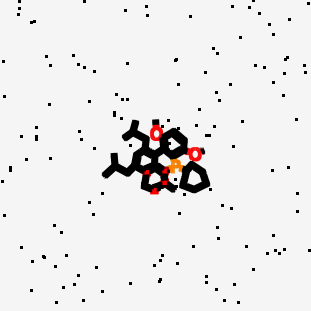 COc1ccc(OC)c(P(C2CCCCC2)C2CCCCC2)c1-c1c(CC(C)C)cc(CC(C)C)cc1CC(C)C